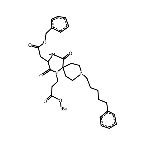 CC(C)(C)OC(=O)CCN1C(=O)C(CC(=O)OCc2ccccc2)NC(=O)C12CCN(CCCCCc1ccccc1)CC2